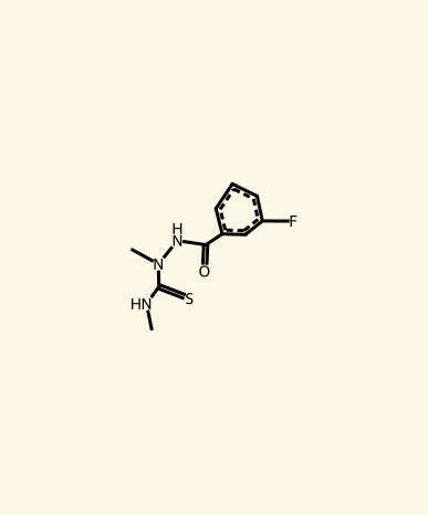 CNC(=S)N(C)NC(=O)c1cccc(F)c1